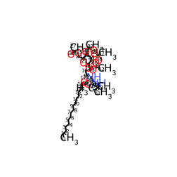 CCCCCCCCCCCCCCCCOC[C@H](COC1OC(COC(C)=O)C(OC(C)=O)C(OC(C)=O)C1OC(C)=O)NC(=O)N[Si](C)(C)C